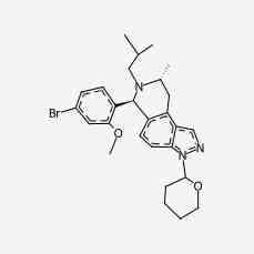 COc1cc(Br)ccc1[C@@H]1c2ccc3c(cnn3C3CCCCO3)c2C[C@@H](C)N1CC(C)C